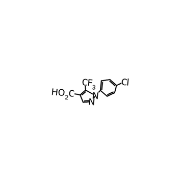 O=C(O)c1cnn(-c2ccc(Cl)cc2)c1C(F)(F)F